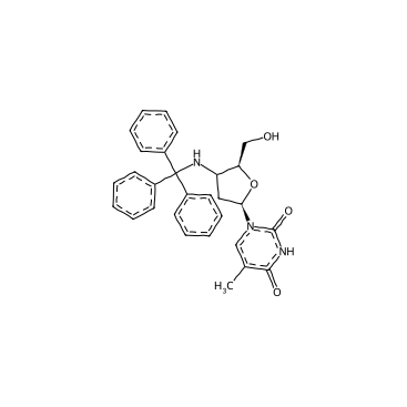 Cc1cn([C@H]2CC(NC(c3ccccc3)(c3ccccc3)c3ccccc3)[C@@H](CO)O2)c(=O)[nH]c1=O